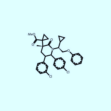 COC(=O)C1([C@@]2(C)CC(c3cccc(Cl)c3)C(c3ccc(Cl)cc3)N([C@H](COc3ccccc3)C3CC3)C2=O)CC1